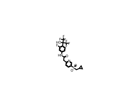 O=C(Cc1ccc(S(=O)(=O)CC2CC2)cn1)Nc1ccc(C(O)(C(F)(F)F)C(F)(F)F)c(F)c1